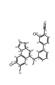 CN(c1cccc(-c2ccc(C#N)c(Cl)c2)c1)c1nc2nncn2c2cc(Cl)c(F)cc12